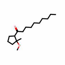 CCCCCCCCCC(=O)C1CCCC1(C)OC